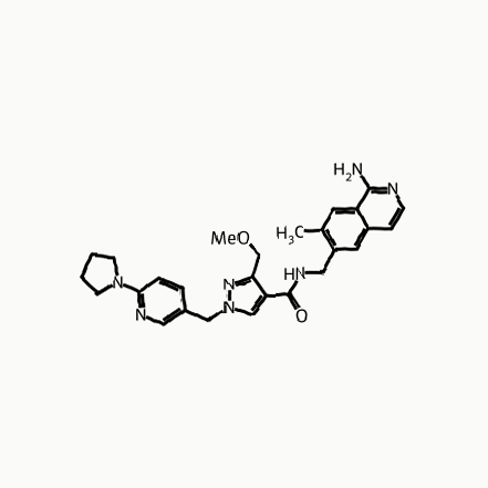 COCc1nn(Cc2ccc(N3CCCC3)nc2)cc1C(=O)NCc1cc2ccnc(N)c2cc1C